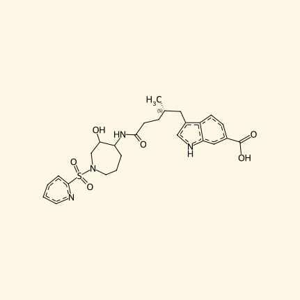 C[C@@H](CCC(=O)NC1CCCN(S(=O)(=O)c2ccccn2)CC1O)Cc1c[nH]c2cc(C(=O)O)ccc12